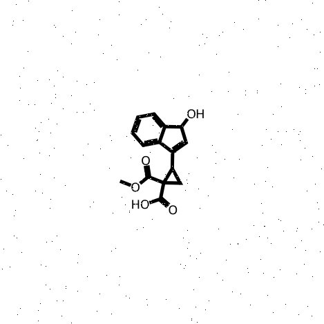 COC(=O)C1(C(=O)O)CC1C1=CC(O)c2ccccc21